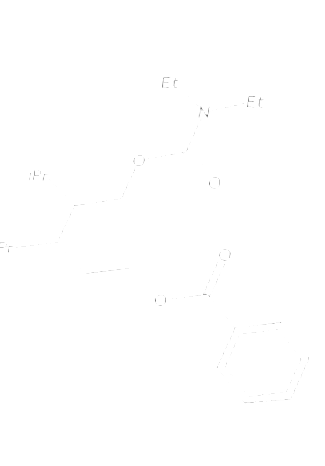 CCN(CC)C(=O)OCC(C(C)C)C(CCOC(=O)c1ccccc1)C(C)C